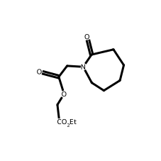 CCOC(=O)COC(=O)CN1CCCCCC1=O